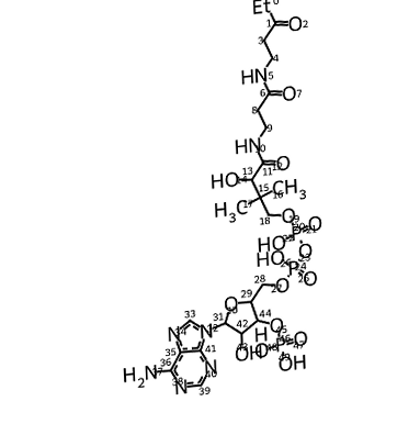 CCC(=O)CCNC(=O)CCNC(=O)C(O)C(C)(C)COP(=O)(O)OP(=O)(O)OCC1OC(n2cnc3c(N)ncnc32)C(O)C1OP(=O)(O)O